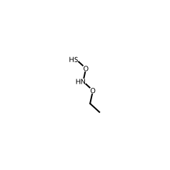 CCONOS